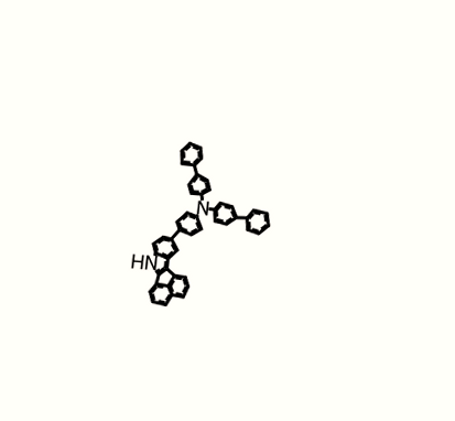 c1ccc(-c2ccc(N(c3ccc(-c4ccccc4)cc3)c3ccc(-c4ccc5[nH]c6c(c5c4)-c4cccc5cccc-6c45)cc3)cc2)cc1